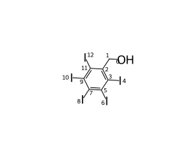 OCc1c(I)c(I)c(I)c(I)c1I